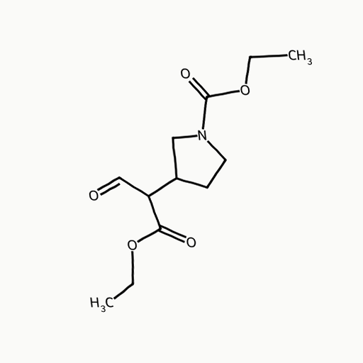 CCOC(=O)C(C=O)C1CCN(C(=O)OCC)C1